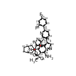 Cc1nnc(C(=O)N2C3CCC2CC(c2nc4c(-c5ccc(-c6ccc(F)cc6F)nc5)cnn4c(N)c2S(C)(=O)=O)C3)[nH]1